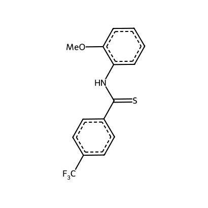 COc1ccccc1NC(=S)c1ccc(C(F)(F)F)cc1